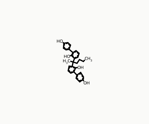 CCCCC(C)(c1cccc(-c2ccc(O)cc2)c1O)c1cccc(-c2ccc(O)cc2)c1O